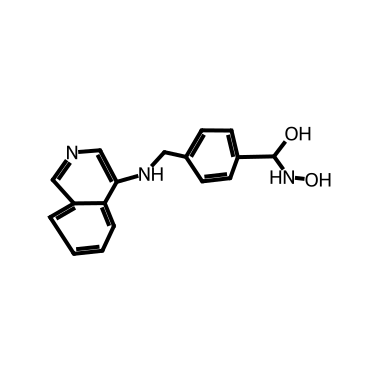 ONC(O)c1ccc(CNc2cncc3ccccc23)cc1